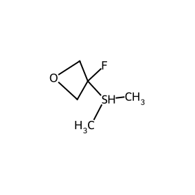 C[SH](C)C1(F)COC1